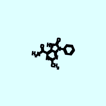 Cc1nc(C(N)=O)c2[nH]c(=O)n(-c3ccccc3)c2n1